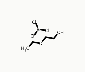 CCOCCO.[Cl][Bi]([Cl])[Cl]